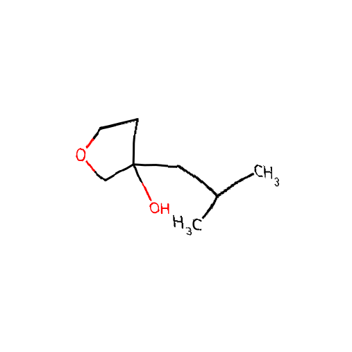 CC(C)CC1(O)CCOC1